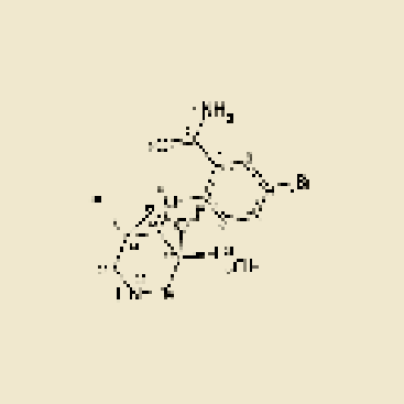 Cl.NC(=O)c1cc(Br)ccc1OC1[C@H]2CNC[C@H]1OC2